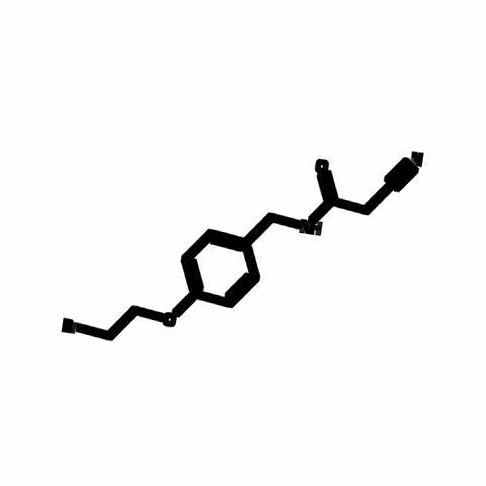 N#CCC(=O)NCc1ccc(OCCBr)cc1